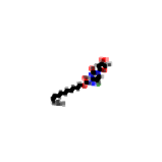 CCCCCCCC/C=C\CCCCCCCCOC(=O)Nc1nc(=O)n([C@H]2C[C@@H](O)[C@H](C)O2)cc1F